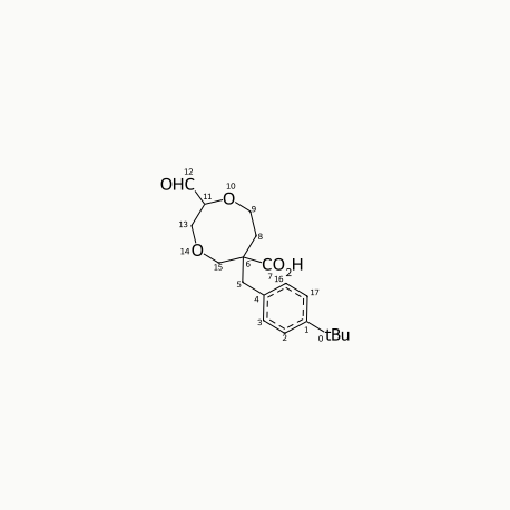 CC(C)(C)c1ccc(CC2(C(=O)O)CCOC(C=O)COC2)cc1